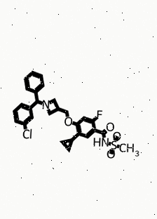 CS(=O)(=O)NC(=O)c1cc(C2CC2)c(OCC2CN(C(c3ccccc3)c3cccc(Cl)c3)C2)cc1F